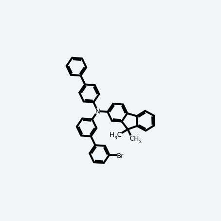 CC1(C)c2ccccc2-c2ccc(N(c3ccc(-c4ccccc4)cc3)c3cccc(-c4cccc(Br)c4)c3)cc21